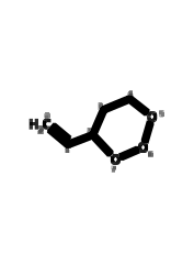 C=CC1CCOOO1